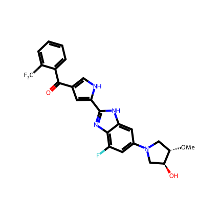 CO[C@H]1CN(c2cc(F)c3nc(-c4cc(C(=O)c5ccccc5C(F)(F)F)c[nH]4)[nH]c3c2)C[C@@H]1O